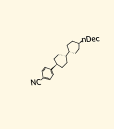 CCCCCCCCCC[C@H]1CC[C@H]([C@H]2CC[C@H](c3ccc(C#N)cc3)CC2)CC1